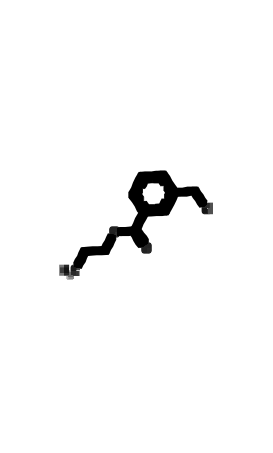 CCCOC(=O)c1cccc(CCl)c1